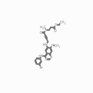 CCOC(=O)CCN(C)C(=O)C#CCNc1cc2c(Nc3cccc(Br)c3)ncnc2cc1OC